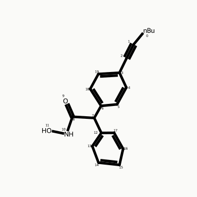 CCCCC#Cc1ccc(C(C(=O)NO)c2ccccc2)cc1